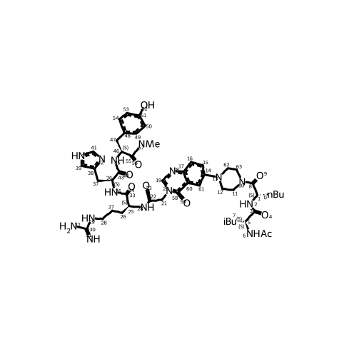 CCCC[C@H](NC(=O)[C@@H](NC(C)=O)[C@@H](C)CC)C(=O)N1CCN(c2ccc3ncn(CC(=O)N[C@@H](CCCNC(=N)N)C(=O)N[C@@H](Cc4c[nH]cn4)C(=O)N[C@@H](Cc4ccc(O)cc4)C(=O)NC)c(=O)c3c2)CC1